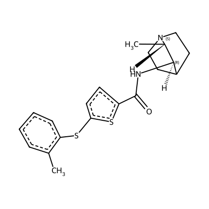 Cc1ccccc1Sc1ccc(C(=O)N[C@@H]2C3CCN(CC3)[C@H]2C)s1